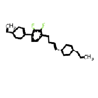 C=CC1CC=C(c2ccc(CCC=C[C@H]3CC[C@H](CCC)CC3)c(F)c2F)CC1